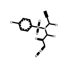 C#CC(CC)N(C(CC)C(=O)C=[N+]=[N-])S(=O)(=O)c1ccc(Cl)cc1